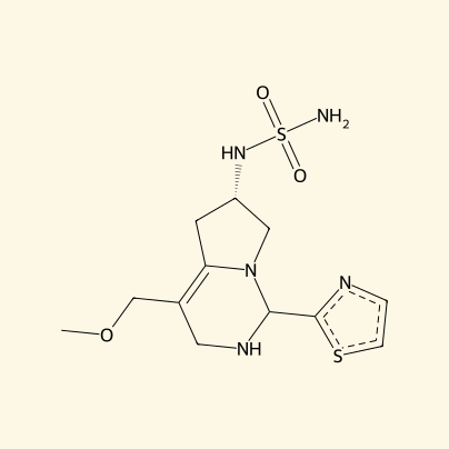 COCC1=C2C[C@H](NS(N)(=O)=O)CN2C(c2nccs2)NC1